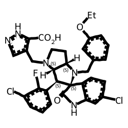 CCOc1cccc(CN2[C@H]3CCN(Cc4cn[nH]c4C(=O)O)[C@H]3[C@H](c3cccc(Cl)c3F)[C@]23C(=O)Nc2cc(Cl)ccc23)c1